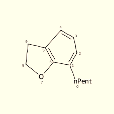 CCCCCc1cc[c]c2c1OCC2